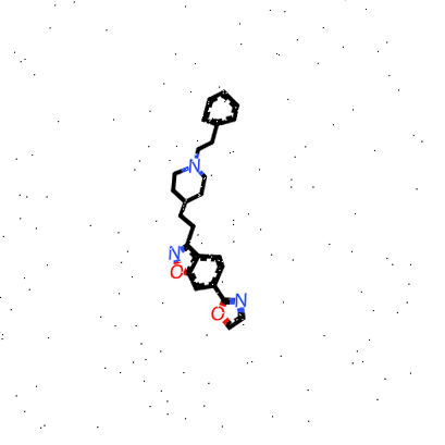 c1ccc(CCN2CCC(CCc3noc4cc(-c5ncco5)ccc34)CC2)cc1